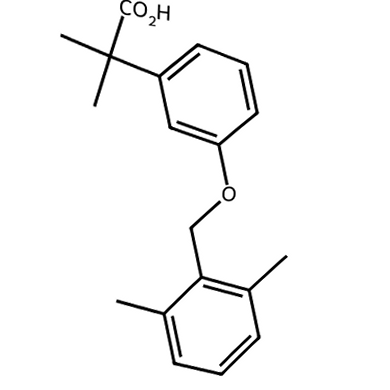 Cc1cccc(C)c1COc1cccc(C(C)(C)C(=O)O)c1